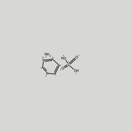 N.O=S(=O)(O)O.c1cncnc1